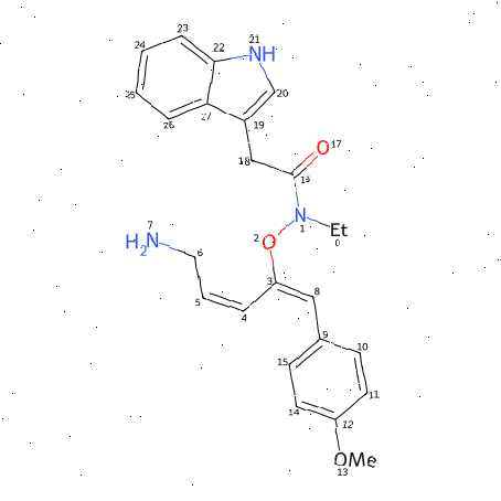 CCN(OC(/C=C\CN)=C/c1ccc(OC)cc1)C(=O)Cc1c[nH]c2ccccc12